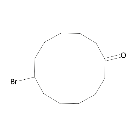 O=C1CCCCCC(Br)CCCCC1